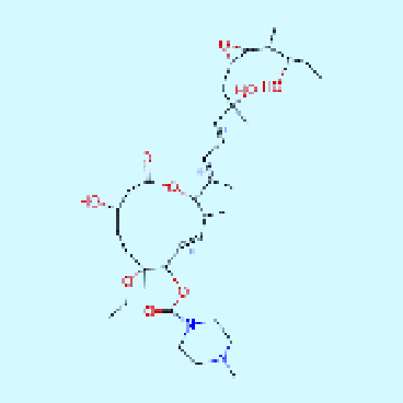 CCOC1(C)CCC(O)CC(=O)OC(/C(C)=C/C=C/C(C)(O)CC2OC2C(C)C(O)CC)C(C)/C=C/C1OC(=O)N1CCN(C)CC1